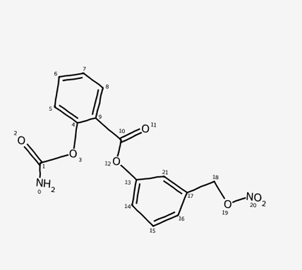 NC(=O)Oc1ccccc1C(=O)Oc1cccc(CO[N+](=O)[O-])c1